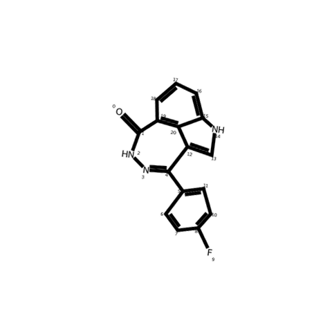 O=C1NN=C(c2ccc(F)cc2)c2c[nH]c3cccc1c23